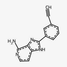 C#Cc1cccc(-c2nc3c(N)nccc3[nH]2)c1